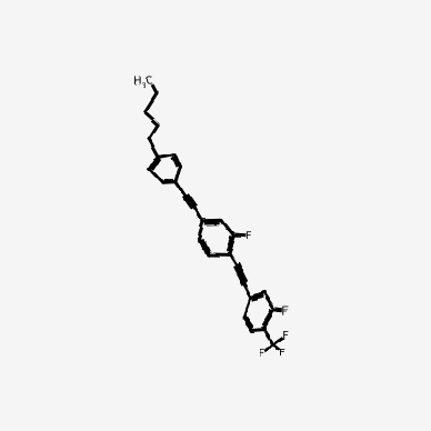 CCCCCc1ccc(C#Cc2ccc(C#Cc3ccc(C(F)(F)F)c(F)c3)c(F)c2)cc1